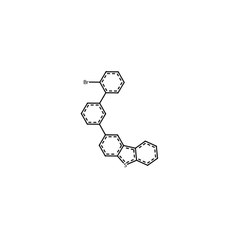 Brc1ccccc1-c1cccc(-c2ccc3sc4ccccc4c3c2)c1